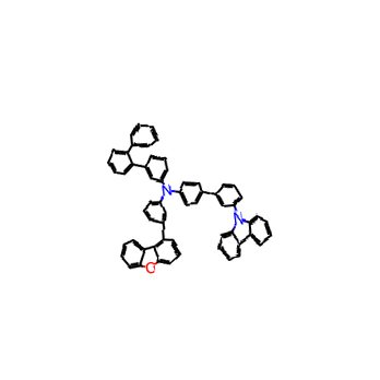 c1ccc(-c2ccccc2-c2cccc(N(c3ccc(-c4cccc(-n5c6ccccc6c6ccccc65)c4)cc3)c3cccc(-c4cccc5oc6ccccc6c45)c3)c2)cc1